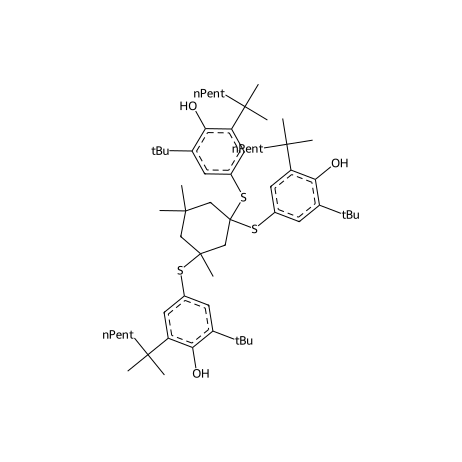 CCCCCC(C)(C)c1cc(SC2(C)CC(C)(C)CC(Sc3cc(C(C)(C)C)c(O)c(C(C)(C)CCCCC)c3)(Sc3cc(C(C)(C)C)c(O)c(C(C)(C)CCCCC)c3)C2)cc(C(C)(C)C)c1O